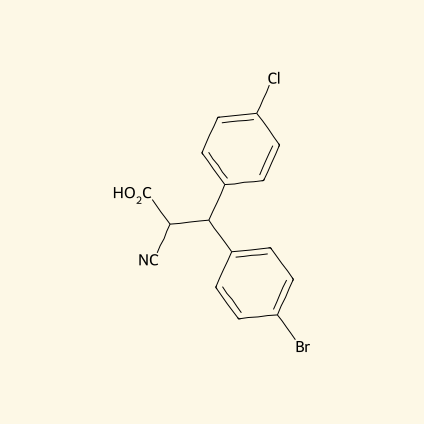 N#CC(C(=O)O)C(c1ccc(Cl)cc1)c1ccc(Br)cc1